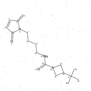 C=C1C=CC(=O)N1CCCCNC(=O)N1CC(C(C)(C)C)C1